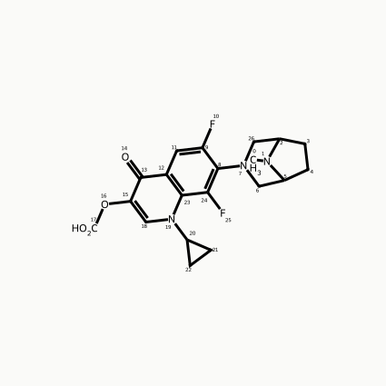 CN1C2CCC1CN(c1c(F)cc3c(=O)c(OC(=O)O)cn(C4CC4)c3c1F)C2